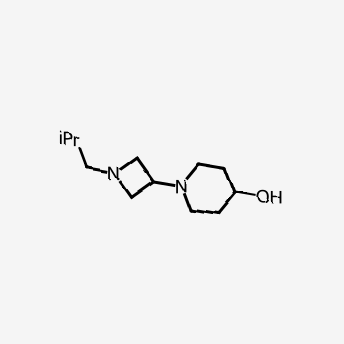 CC(C)CN1CC(N2CCC(O)CC2)C1